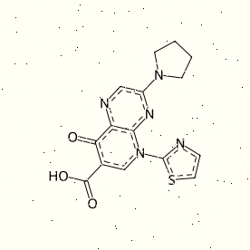 O=C(O)c1cn(-c2nccs2)c2nc(N3CCCC3)cnc2c1=O